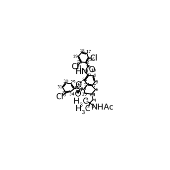 CC(=O)NC(C)(C)C[C@@H]1Cc2ccc(NC(=O)c3c(Cl)cccc3Cl)cc2C(S(=O)(=O)c2cccc(Cl)c2)C1